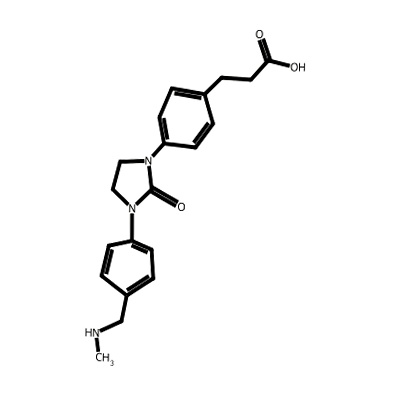 CNCc1ccc(N2CCN(c3ccc(CCC(=O)O)cc3)C2=O)cc1